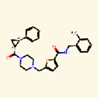 O=C(NCc1ccccc1C(F)(F)F)c1ccc(CN2CCN(C(=O)[C@@H]3C[C@H]3c3ccccc3)CC2)s1